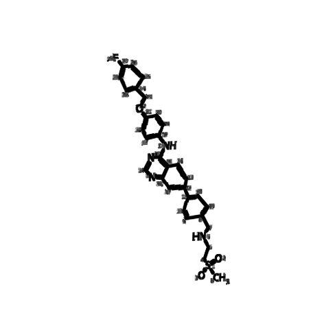 CS(=O)(=O)CCNCc1ccc(-c2ccc3c(Nc4ccc(OCc5ccc(F)cc5)cc4)ncnc3c2)cc1